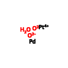 O.[O-2].[O-2].[Pd].[Pt+4]